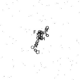 O=C(NS(=O)(=O)c1ccc(N[C@H](CCN2CCOCC2)CSc2ccccc2)c(S(=O)(=O)C(F)(F)F)c1)c1ccc(N2CCN(CC3=C(c4ccc(Cl)cc4)CCCCC3)CC2)cc1